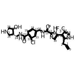 C#CCc1[nH]nc(C(F)(F)F)c1-c1cnc(C(=O)NCc2ccc(C(=O)NC[C@@H]3CNC[C@@H]3O)c(Cl)c2)[nH]1